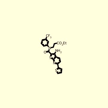 CCOC(=O)CCN(C(=O)c1sc2nc(-c3cccs3)ccc2c1N)c1cccc(C(F)(F)F)c1